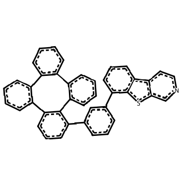 c1cc(-c2cccc3c2-c2ccccc2-c2ccccc2-c2ccccc2-3)cc(-c2cccc3c2sc2cnccc23)c1